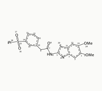 COc1cc2nc(NC(=O)Cc3cccc(S(=O)(=O)C(C)C)c3)sc2cc1OC